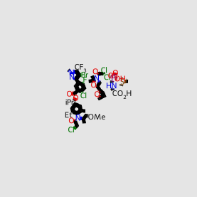 CC(C)OC(=O)c1cc(-c2nn(C)c(C(F)(F)F)c2Br)c(F)cc1Cl.CC1(C)OC(c2ccco2)CN1C(=O)C(Cl)Cl.CCc1cccc(C)c1N(C(=O)CCl)C(C)COC.C[S+](C)C.O=C(O)CNCP(=O)([O-])O